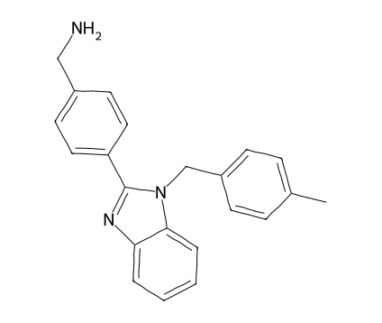 Cc1ccc(Cn2c(-c3ccc(CN)cc3)nc3ccccc32)cc1